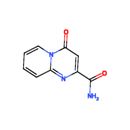 NC(=O)c1cc(=O)n2ccccc2n1